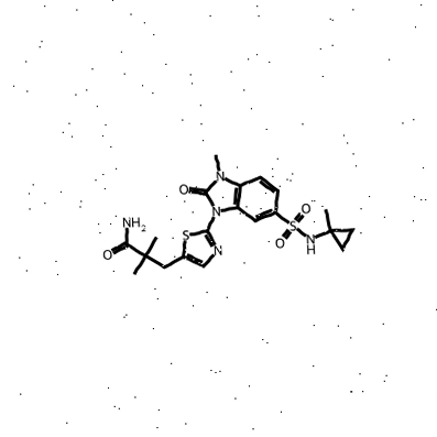 Cn1c(=O)n(-c2ncc(CC(C)(C)C(N)=O)s2)c2cc(S(=O)(=O)NC3(C)CC3)ccc21